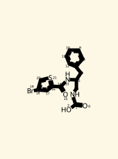 O=C(O)NCC(Cc1ccccc1)NC(=O)c1cc(Br)cs1